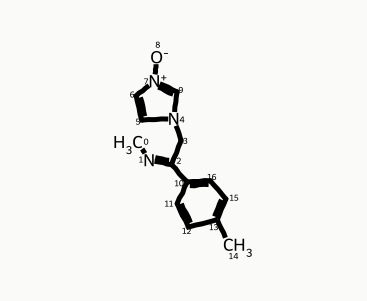 CN=C(Cn1cc[n+]([O-])c1)c1ccc(C)cc1